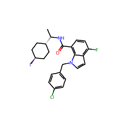 CC(NC(=O)c1ccc(F)c2ccn(Cc3ccc(Cl)cc3)c12)[C@H]1CC[C@H](I)CC1